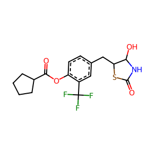 O=C1NC(O)C(Cc2ccc(OC(=O)C3CCCC3)c(C(F)(F)F)c2)S1